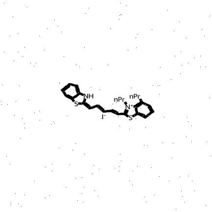 CCCc1cccc2sc(C=CC=CC=C3Nc4ccccc4S3)[n+](CCC)c12.[I-]